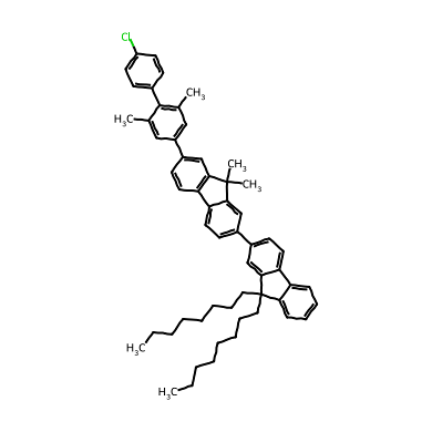 CCCCCCCCC1(CCCCCCCC)c2ccccc2-c2ccc(-c3ccc4c(c3)C(C)(C)c3cc(-c5cc(C)c(-c6ccc(Cl)cc6)c(C)c5)ccc3-4)cc21